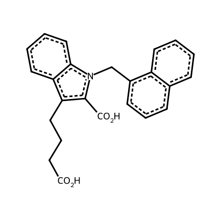 O=C(O)CCCc1c(C(=O)O)n(Cc2cccc3ccccc23)c2ccccc12